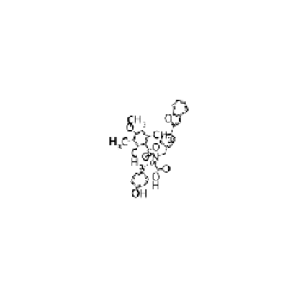 COc1cc(C)c(S(=O)(=O)N(Cc2ccc(-c3cc4ccccc4o3)cc2)[C@@H](Cc2ccc(O)cc2)C(=O)O)c(C)c1C